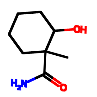 CC1(C(N)=O)CCCCC1O